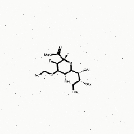 COC(=O)[C@]1(F)OC([C@H](OC(C)=O)[C@@H](COC(C)=O)OC(C)=O)[C@H](N)C(OCC#N)C1F